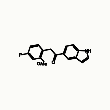 COc1cc(F)ccc1CC(=O)c1ccc2[nH]ccc2c1